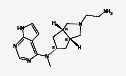 CN(c1ncnc2[nH]ccc12)[C@@H]1C[C@@H]2CN(CCN)C[C@@H]2C1